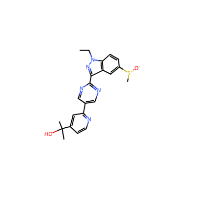 CCn1nc(-c2ncc(-c3cc(C(C)(C)O)ccn3)cn2)c2cc([S+](C)[O-])ccc21